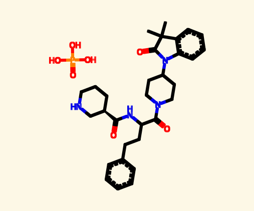 CC1(C)C(=O)N(C2CCN(C(=O)C(CCc3ccccc3)NC(=O)[C@@H]3CCCNC3)CC2)c2ccccc21.O=P(O)(O)O